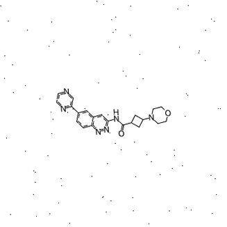 O=C(Nc1cc2cc(-c3cnccn3)ccc2nn1)C1CC(N2CCOCC2)C1